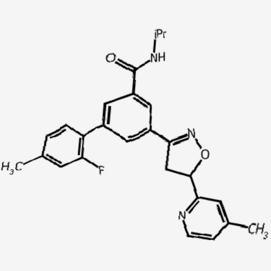 Cc1ccnc(C2CC(c3cc(C(=O)NC(C)C)cc(-c4ccc(C)cc4F)c3)=NO2)c1